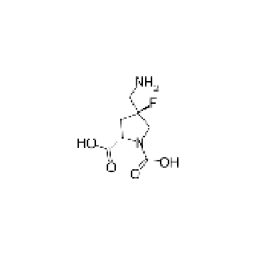 NC[C@@]1(F)C[C@@H](C(=O)O)N(C(=O)O)C1